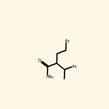 CCCCC(=O)C(CCC(C)=O)C(C)C(C)=O